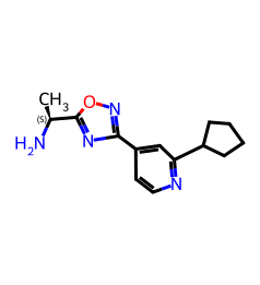 C[C@H](N)c1nc(-c2ccnc(C3CCCC3)c2)no1